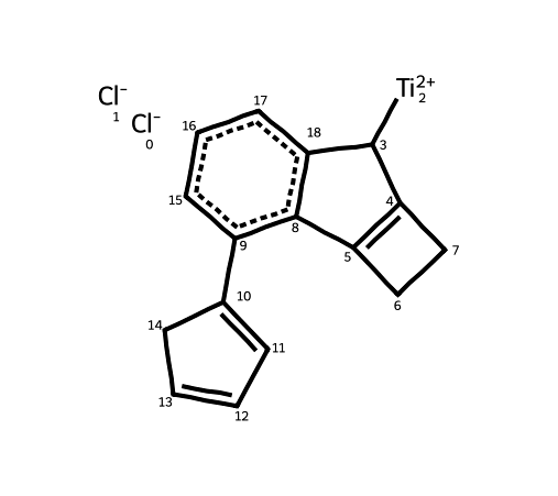 [Cl-].[Cl-].[Ti+2][CH]1C2=C(CC2)c2c(C3=CC=CC3)cccc21